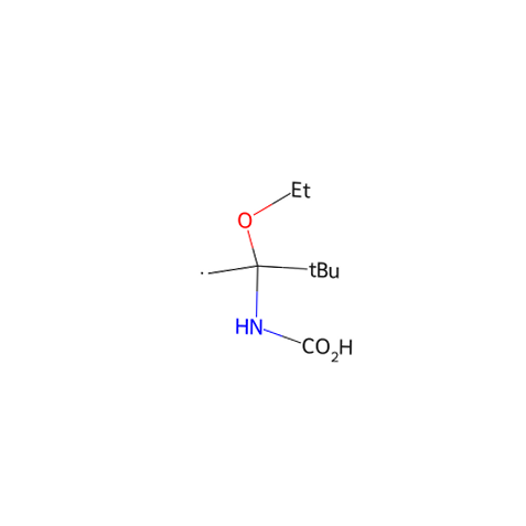 [CH2]C(NC(=O)O)(OCC)C(C)(C)C